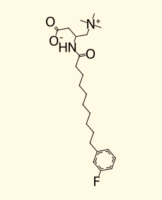 C[N+](C)(C)CC(CC(=O)[O-])NC(=O)CCCCCCCCCc1cccc(F)c1